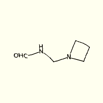 O=CNCN1CCC1